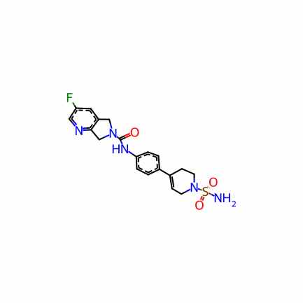 NS(=O)(=O)N1CC=C(c2ccc(NC(=O)N3Cc4cc(F)cnc4C3)cc2)CC1